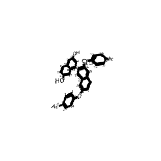 CC(=O)c1ccc(Oc2ccc3cc(Oc4ccc(C(C)=O)cc4)ccc3c2)cc1.Oc1ccc2cc(O)ccc2c1